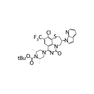 C[C@@H]1CN(c2nc(=O)n3c4c(c(Cl)c(C(F)(F)F)cc24)SC[C@@H](n2ccc4cccnc42)C3)C[C@H](C)N1C(=O)OC(C)(C)C